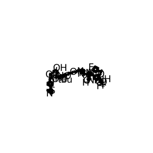 Cc1ncsc1-c1ccc(CNC(=O)[C@@H]2C[C@@H](O)CN2C(=O)C(NC(=O)COCCOCCn2ccc(Nc3[nH]nc(-c4ccc(NS(=O)(=O)C(F)F)c(OC(C)c5ccc(F)cc5)c4)c3C(N)=O)n2)C(C)(C)C)cc1